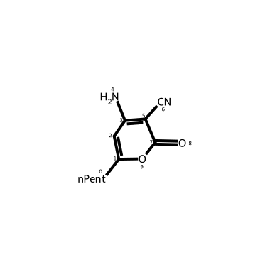 CCCCCc1cc(N)c(C#N)c(=O)o1